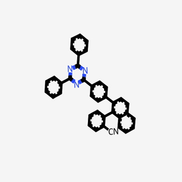 N#Cc1ccccc1-c1c(-c2ccc(-c3nc(-c4ccccc4)nc(-c4ccccc4)n3)cc2)ccc2ccccc12